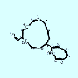 O=CC1CCCCCCCC(C2=CC=CC=CN2)CCC1